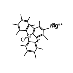 Cc1c(C)c(C)c([Si]([O-])(c2c(C)c(C)c(C)c(C)c2C)c2c(C)c(C)c(C)c(C)c2C)c(C)c1C.[Br-].[Mg+2]